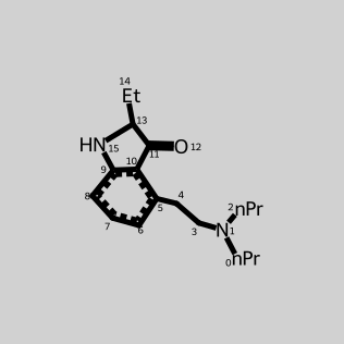 CCCN(CCC)CCc1cccc2c1C(=O)C(CC)N2